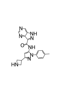 Cc1ccc(-n2nc(C3CNC3)cc2NC(=O)c2n[nH]c3cncnc23)cc1